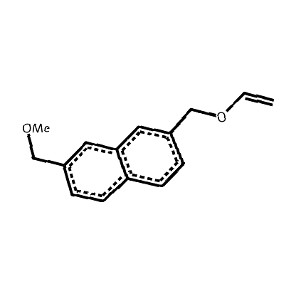 C=COCc1ccc2ccc(COC)cc2c1